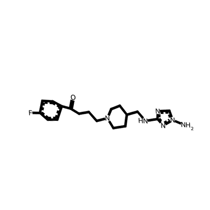 Nn1cnc(NCC2CCN(CCCC(=O)c3ccc(F)cc3)CC2)n1